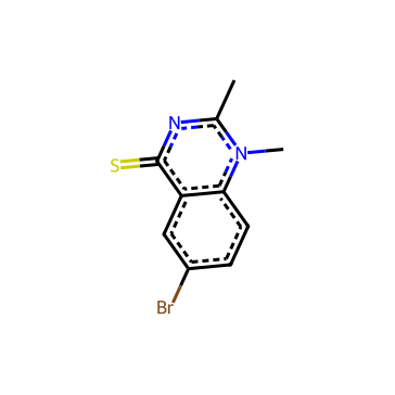 Cc1nc(=S)c2cc(Br)ccc2n1C